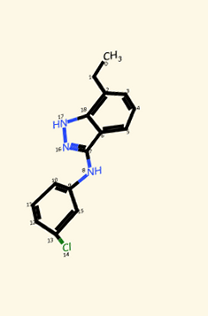 CCc1cccc2c(Nc3cccc(Cl)c3)n[nH]c12